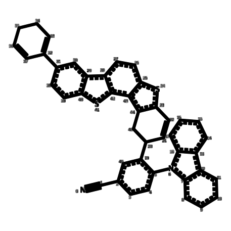 N#Cc1ccc(-n2c3ccccc3c3ccccc32)c(C2C=Cc3sc4ccc5c6cc(C7=CCCC=C7)ccc6sc5c4c3C2)c1